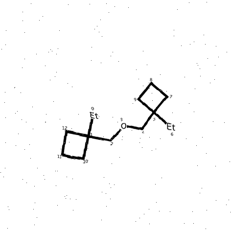 CCC1(COCC2(CC)CCC2)CCC1